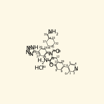 Cc1cnccc1-c1cccc(C[C@@H](C(N)=O)N(c2ccc(-c3nnn[nH]3)cc2)C(=O)[C@H]2CC[C@H](CN)CC2)c1.Cl